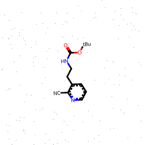 CC(C)(C)OC(=O)NCCc1cccnc1C#N